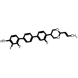 C/C=C/C1OCC(c2ccc(-c3ccc(-c4ccc(CCC)c(F)c4F)cc3)cc2F)CO1